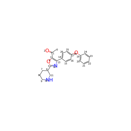 CC(=O)c1oc(C2CCCNC2)nc1-c1ccc(Oc2ccccc2)cc1